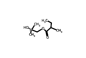 CCC(C)C(=O)OC[Si](C)(C)O